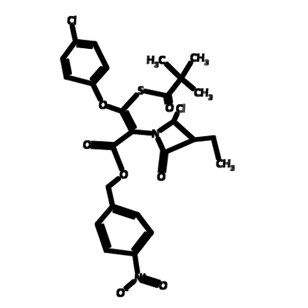 CCC1C(=O)N(C(C(=O)OCc2ccc([N+](=O)[O-])cc2)=C(Oc2ccc(Cl)cc2)SC(=O)C(C)(C)C)C1Cl